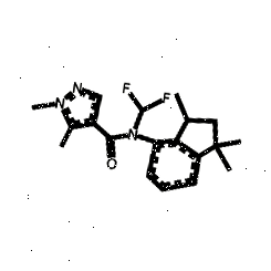 Cc1c(C(=O)N(c2cccc3c2C(C)CC3(C)C)C(F)F)cnn1C